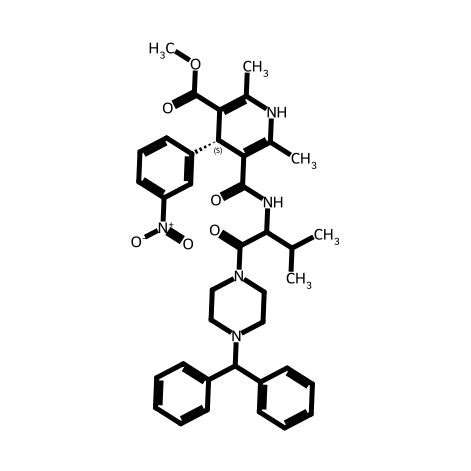 COC(=O)C1=C(C)NC(C)=C(C(=O)NC(C(=O)N2CCN(C(c3ccccc3)c3ccccc3)CC2)C(C)C)[C@@H]1c1cccc([N+](=O)[O-])c1